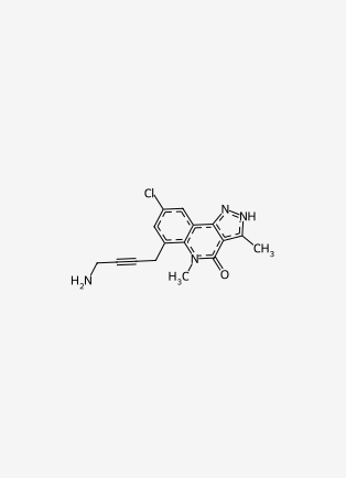 Cc1[nH]nc2c1c(=O)n(C)c1c(CC#CCN)cc(Cl)cc21